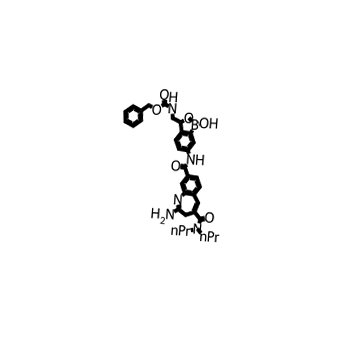 CCCN(CCC)C(=O)C1=Cc2ccc(C(=O)Nc3ccc4c(c3)B(O)OC4CNC(=O)OCc3ccccc3)cc2N=C(N)C1